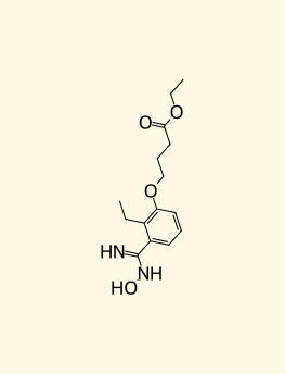 CCOC(=O)CCCOc1cccc(C(=N)NO)c1CC